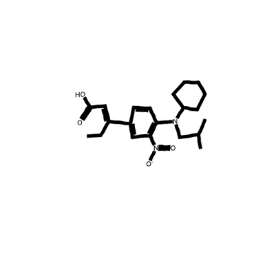 CC/C(=C\C(=O)O)c1ccc(N(CC(C)C)C2CCCCC2)c([N+](=O)[O-])c1